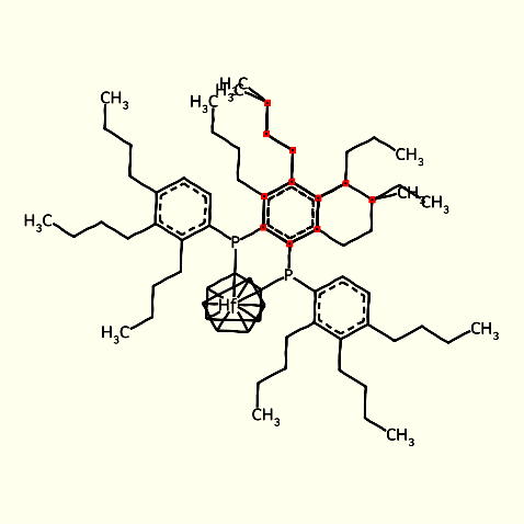 CCCCc1ccc(P(c2ccc(CCCC)c(CCCC)c2CCCC)[C]23[CH]4[CH]5[CH]6[C]2(P(c2ccc(CCCC)c(CCCC)c2CCCC)c2ccc(CCCC)c(CCCC)c2CCCC)[Hf]54632789[CH]3[CH]2[CH]7[CH]8[CH]39)c(CCCC)c1CCCC